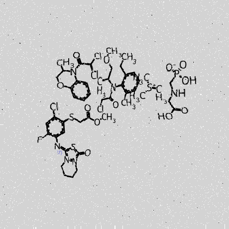 CC1COc2ccccc2N1C(=O)C(Cl)Cl.CCc1cccc(C)c1N(C(=O)CCl)C(C)COC.COC(=O)CSc1cc(/N=c2\sc(=O)n3n2CCCC3)c(F)cc1Cl.C[S+](C)C.O=C(O)CNCP(=O)([O-])O